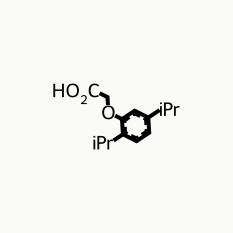 CC(C)c1ccc(C(C)C)c(OCC(=O)O)c1